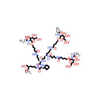 COCC(CO)CCCCNC(=O)[C@H](Cc1ccccc1)NC(=O)[C@H](CCCCNC(=O)CCCCO[C@@H]1OC(CO)[C@H](O)[C@H](O)C1NC(C)=O)NC(=O)CC[C@H](CCCCNC(=O)CCCCO[C@@H]1OC(CO)[C@H](O)[C@H](O)C1NC(C)=O)NC(=O)CCCNC(=O)CCCCO[C@@H]1OC(CO)[C@H](O)[C@H](O)C1NC(C)=O